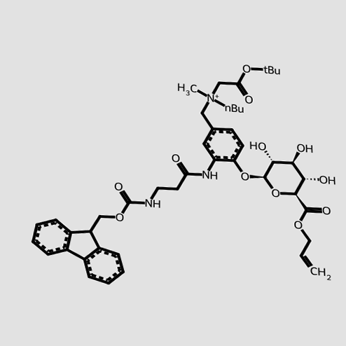 C=CCOC(=O)[C@H]1O[C@@H](Oc2ccc(C[N+](C)(CCCC)CC(=O)OC(C)(C)C)cc2NC(=O)CCNC(=O)OCC2c3ccccc3-c3ccccc32)[C@H](O)[C@@H](O)[C@@H]1O